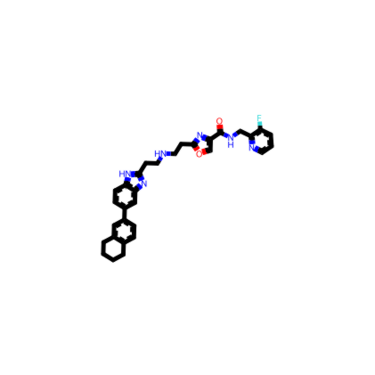 O=C(NCc1ncccc1F)c1coc(CCNCCc2nc3cc(-c4ccc5c(c4)CCCC5)ccc3[nH]2)n1